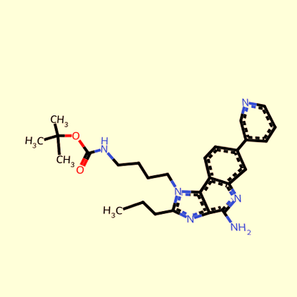 CCCc1nc2c(N)nc3cc(-c4cccnc4)ccc3c2n1CCCCNC(=O)OC(C)(C)C